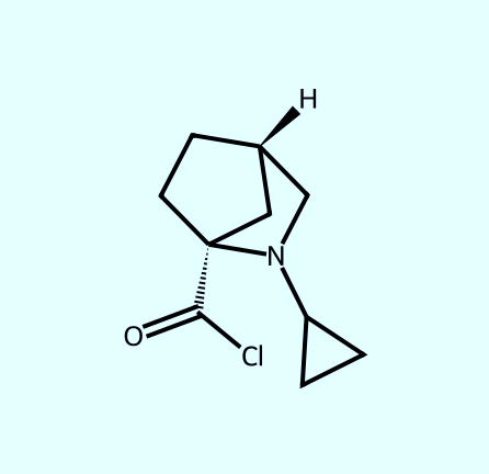 O=C(Cl)[C@@]12CC[C@H](CN1C1CC1)C2